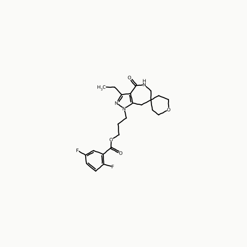 CCc1nn(CCCOC(=O)c2cc(F)ccc2F)c2c1C(=O)NCC1(CCOCC1)C2